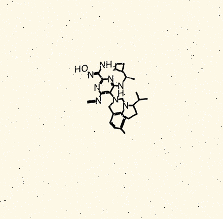 C=Nc1nc(/C(N)=N/O)nc(N[C@H](C)C2CCC2)c1N(Cc1ccc(C)cc1)CN1CCCC1C(C)C